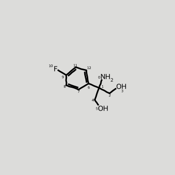 NC(CO)(CO)c1ccc(F)cc1